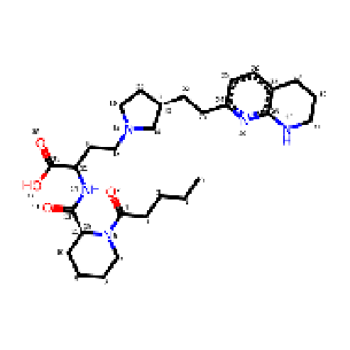 CCCCC(=O)N1CCCC[C@H]1C(=O)NC(CCN1CC[C@@H](CCc2ccc3c(n2)NCCC3)C1)C(=O)O